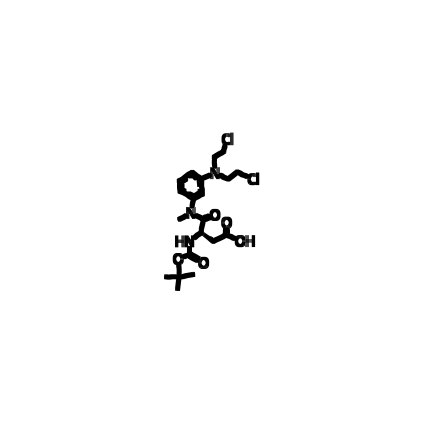 CN(C(=O)[C@@H](CC(=O)O)NC(=O)OC(C)(C)C)c1cccc(N(CCCl)CCCl)c1